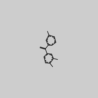 C=C(c1cccc(C)c1)c1ccc(C)c(C)c1